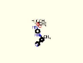 Cc1ccc(-c2ccncc2)cc1CN[C@H]1CC[C@H](NC(=O)OC(C)(C)C)CC1